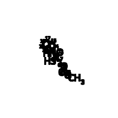 COCC(=O)OCCN(S)C(=O)NC1CCc2ccccc21